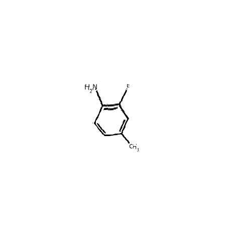 Cc1c[c]c(N)c(F)c1